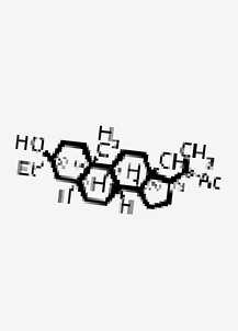 CC[C@]1(O)CC[C@@]2(C)[C@@H](CC[C@@H]3[C@@H]2CC[C@]2(C)[C@@H]([C@H](C)C(C)=O)CC[C@@H]32)C1